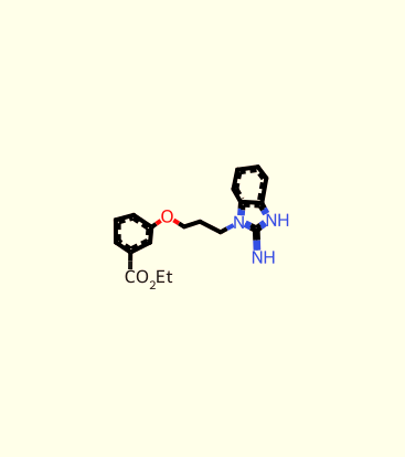 CCOC(=O)c1cccc(OCCCn2c(=N)[nH]c3ccccc32)c1